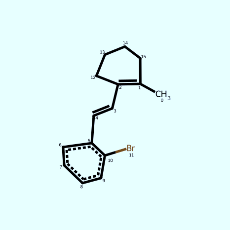 CC1=C(/C=C/c2ccccc2Br)CCCC1